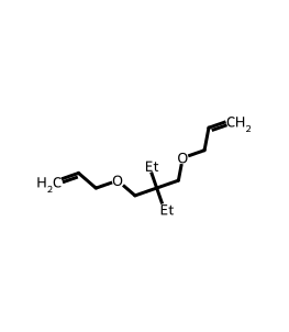 C=CCOCC(CC)(CC)COCC=C